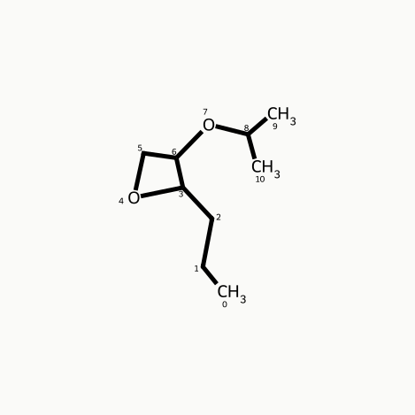 CCCC1OCC1OC(C)C